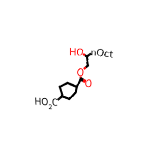 CCCCCCCCC(O)COC(=O)C1CCC(C(=O)O)CC1